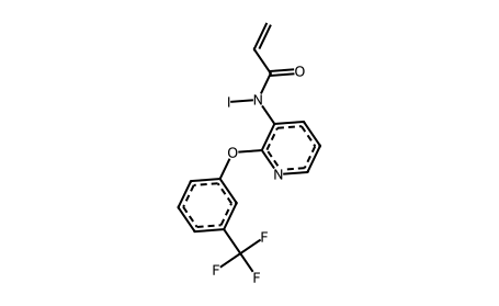 C=CC(=O)N(I)c1cccnc1Oc1cccc(C(F)(F)F)c1